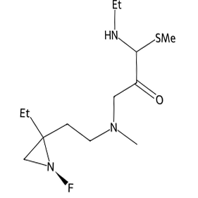 CCNC(SC)C(=O)CN(C)CCC1(CC)C[N@]1F